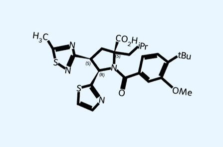 COc1cc(C(=O)N2[C@@H](c3nccs3)[C@@H](c3nsc(C)n3)C[C@@]2(CC(C)C)C(=O)O)ccc1C(C)(C)C